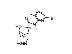 CC(=O)NC[C@]12CC1N[C@H](C(=O)Nc1nc(Br)ccc1C)C2